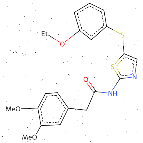 CCOc1cccc(Sc2cnc(NC(=O)Cc3ccc(OC)c(OC)c3)s2)c1